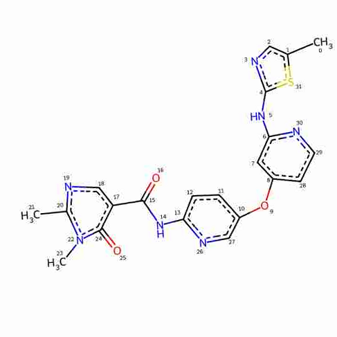 Cc1cnc(Nc2cc(Oc3ccc(NC(=O)c4cnc(C)n(C)c4=O)nc3)ccn2)s1